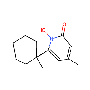 Cc1cc(C2(C)CCCCC2)n(O)c(=O)c1